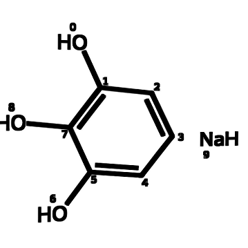 Oc1cccc(O)c1O.[NaH]